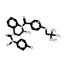 CCN(C(=O)[C@H]1C[C@H](C)N(C(=O)c2ccc(OCC(C)(C)C(=O)O)nc2)c2ccccc21)c1ccc(Cl)cc1